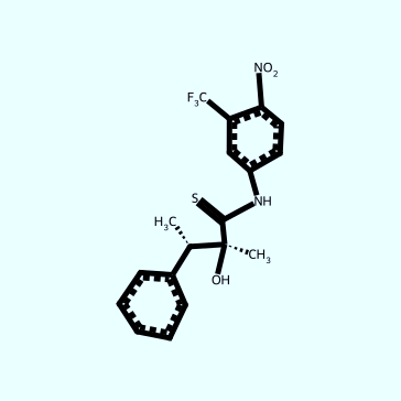 C[C@@H](c1ccccc1)[C@](C)(O)C(=S)Nc1ccc([N+](=O)[O-])c(C(F)(F)F)c1